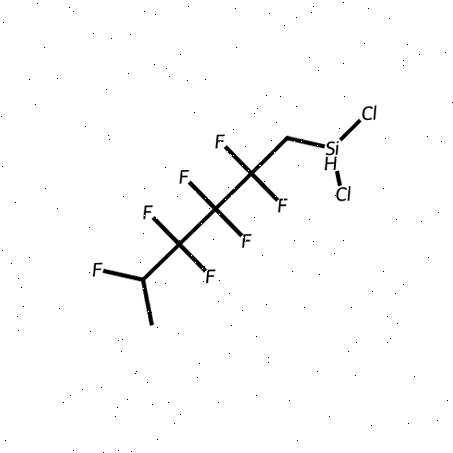 CC(F)C(F)(F)C(F)(F)C(F)(F)C[SiH](Cl)Cl